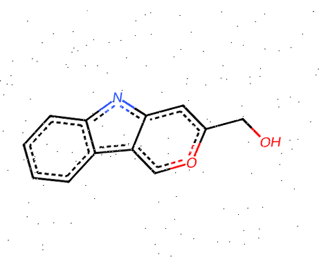 OCc1cc2nc3ccccc3c-2co1